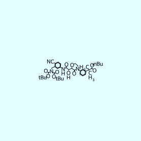 CCCCOC(=O)C(C)(C)c1cccc(N2CCO[C@H]([C@@H](O)C(=O)Nc3ccc(C#N)c(CN(C(=O)OC(C)(C)C)C(=O)OC(C)(C)C)c3)C2=O)c1